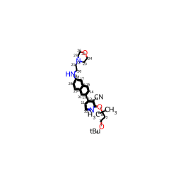 CC(C)(C)OCCC(C)(C)Oc1nccc(-c2ccc3cc(NCCN4CCOCC4)ccc3c2)c1C#N